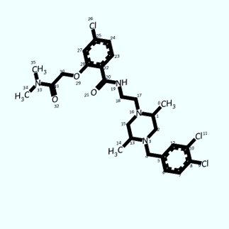 CC1CN(Cc2ccc(Cl)c(Cl)c2)C(C)CN1CCNC(=O)c1ccc(Cl)cc1OCC(=O)N(C)C